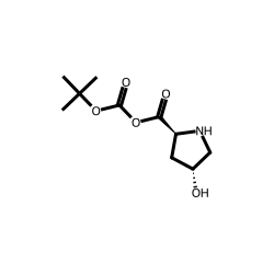 CC(C)(C)OC(=O)OC(=O)[C@@H]1C[C@@H](O)CN1